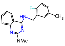 CNc1nc(NCc2cc(C)[c]cc2F)c2ccccc2n1